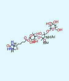 CC(=O)NC(C(C)(CO)COC[C@]1(C)OC(C)(CO)[C@@H](C)C(C)(O)C1(C)O)[C@@](C)(COC[C@@H]1C(C)(C)O[C@](C)(OC(=O)CCCCC2SC[C@@H]3NC(=O)N[C@H]23)C(O)C1(C)O)OC(C)(C)C